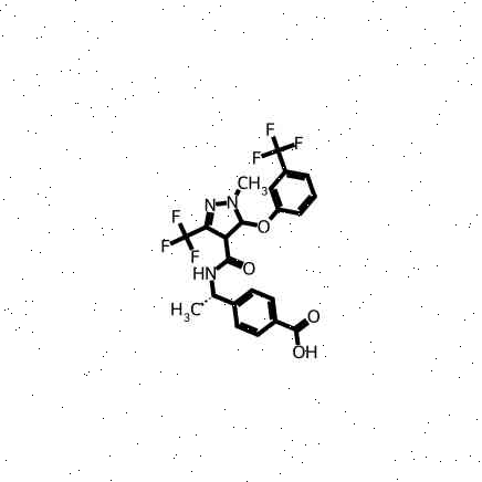 C[C@H](NC(=O)C1C(C(F)(F)F)=NN(C)C1Oc1cccc(C(F)(F)F)c1)c1ccc(C(=O)O)cc1